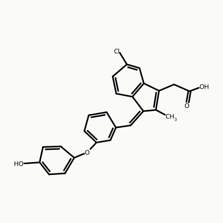 CC1=C(CC(=O)O)c2cc(Cl)ccc2/C1=C\c1cccc(Oc2ccc(O)cc2)c1